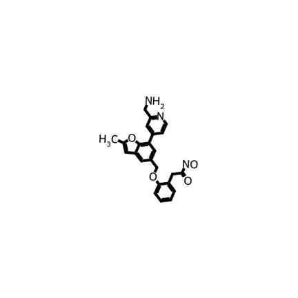 Cc1cc2cc(COc3ccccc3CC(=O)N=O)cc(-c3ccnc(CN)c3)c2o1